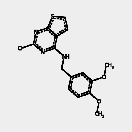 COc1ccc(CNc2nc(Cl)nc3sccc23)cc1OC